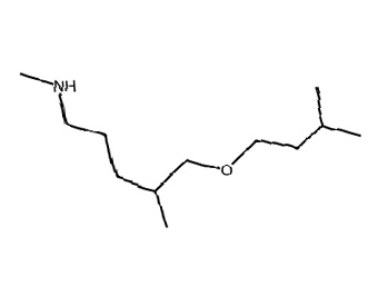 CNCCCC(C)COCCC(C)C